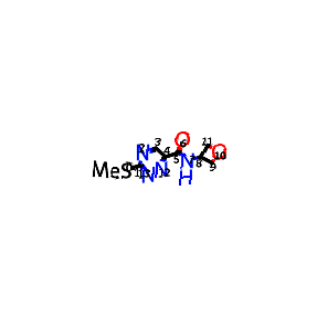 CSc1ncc(C(=O)NC2COC2)nn1